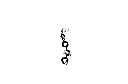 CSC1CN(c2ccc(-c3cnc(-c4cccnc4)s3)cc2)C1